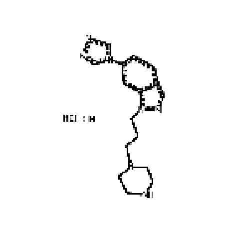 Cl.Cl.c1cc2cnn(CCCN3CCNCC3)c2cc1-n1cnnc1